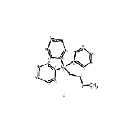 CCCC[As+](c1ccccc1)(c1ccccc1)c1ccccc1.[I-]